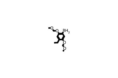 Bc1cc(OCOC)c(CC)cc1OCOC